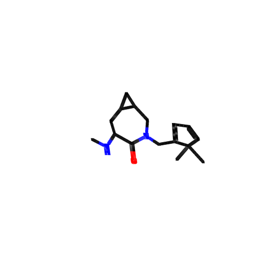 CNC1CC2CC2CN(CC2=CC=CC2(C)C)C1=O